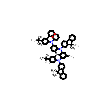 Cc1cc2c3c(c1)N(c1ccc4c(c1)C(C)(C)c1ccccc1-4)c1cc(N(c4ccccc4)c4ccc(C(C)(C)C)cc4-c4ccccc4)ccc1B3c1cc(C(C)(C)C)ccc1N2c1ccc2c(c1)C(C)(C)c1ccccc1-2